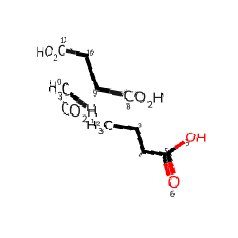 CC(=O)O.CCCC(=O)O.O=C(O)CCC(=O)O